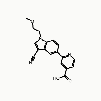 COCCn1cc(C#N)c2cc(-c3cc(C(=O)O)ccn3)ccc21